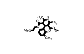 COCCOC(=O)C1C(C)NC(C)=C(C(=O)OC(C)C)C1c1cccc(OC)c1Cl